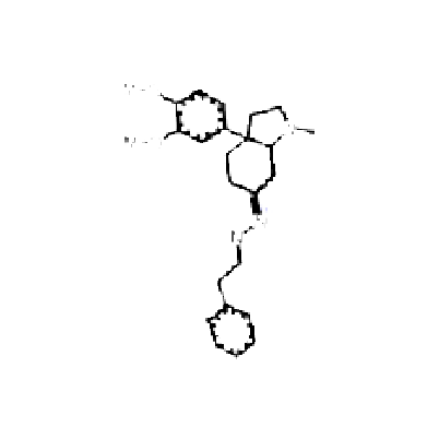 COc1ccc(C23CC/C(=N\NCCc4ccccc4)CC2N(C)CC3)cc1OC